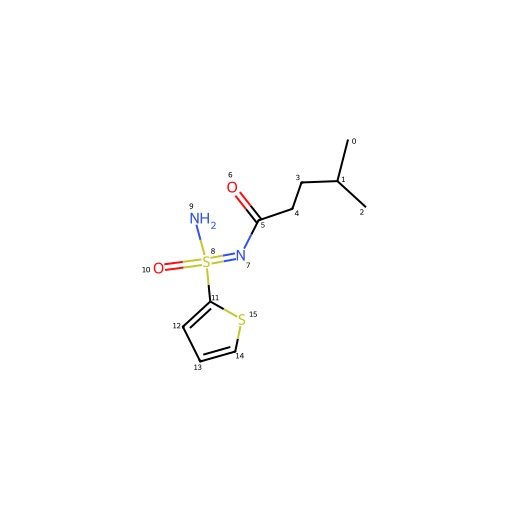 CC(C)CCC(=O)N=S(N)(=O)c1cccs1